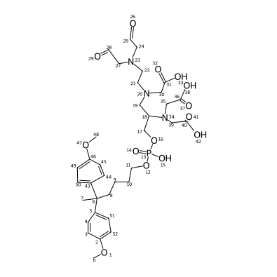 COc1ccc(C(C)(CCCCOP(=O)(O)OCC(CN(CCN(CC=O)CC=O)CC(=O)O)N(CC(=O)O)CC(=O)O)c2ccc(OC)cc2)cc1